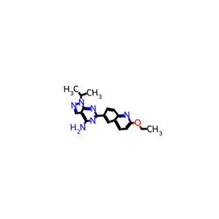 CCOc1ccc2cc(-c3nc(N)c4cnn(C(C)C)c4n3)ccc2n1